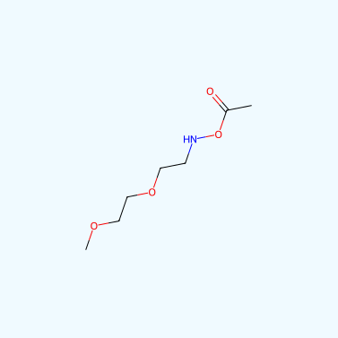 COCCOCCNOC(C)=O